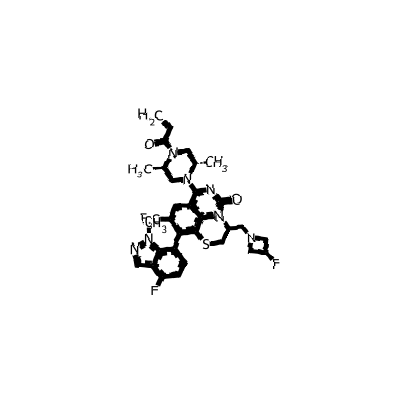 C=CC(=O)N1C[C@H](C)N(c2nc(=O)n3c4c(c(-c5ccc(F)c6cnn(C)c56)c(C(F)(F)F)cc24)SCC3CN2CC(F)C2)C[C@H]1C